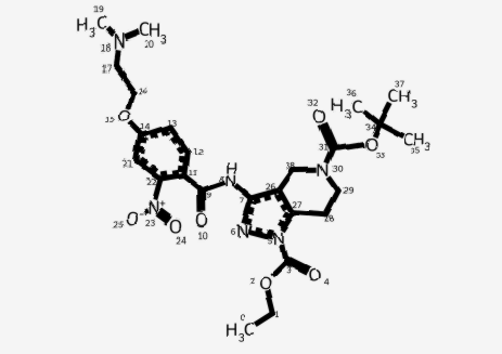 CCOC(=O)n1nc(NC(=O)c2ccc(OCCN(C)C)cc2[N+](=O)[O-])c2c1CCN(C(=O)OC(C)(C)C)C2